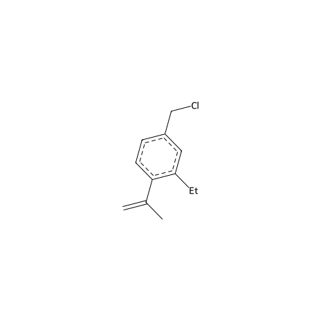 C=C(C)c1ccc(CCl)cc1CC